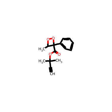 C#CC(C)(C)OC(=O)C1(c2ccccc2)OOC1C